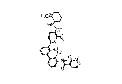 COc1nc(-c2cccc(-c3cccc(NC(=O)c4ccnn(C)c4=O)c3Cl)c2Cl)ccc1[C@H](C)NC1CCCC[C@@H]1O